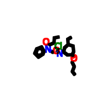 CCCCOC1CCC(CC)CC(=NOCN(C(=O)C(Cl)CC)c2ccccc2)C1